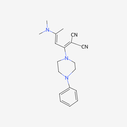 C/C(=C\C(=C(C#N)C#N)N1CCN(c2ccccc2)CC1)N(C)C